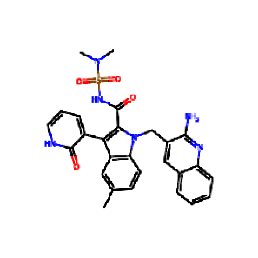 Cc1ccc2c(c1)c(-c1ccc[nH]c1=O)c(C(=O)NS(=O)(=O)N(C)C)n2Cc1cc2ccccc2nc1N